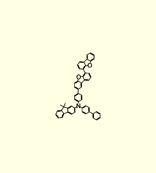 CC1(C)c2ccccc2-c2ccc(N(c3ccc(-c4ccccc4)cc3)c3ccc(-c4ccc5oc6c(-c7cccc8c7oc7ccccc78)cccc6c5c4)cc3)cc21